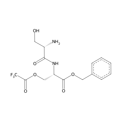 N[C@@H](CO)C(=O)N[C@@H](COC(=O)C(F)(F)F)C(=O)OCc1ccccc1